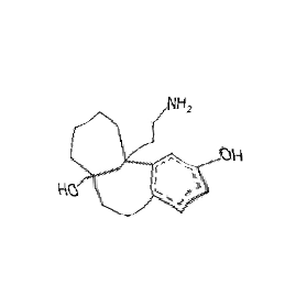 NCCC12CCCCC1(O)CCc1ccc(O)cc12